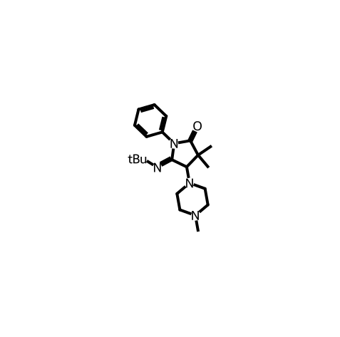 CN1CCN(C2C(=NC(C)(C)C)N(c3ccccc3)C(=O)C2(C)C)CC1